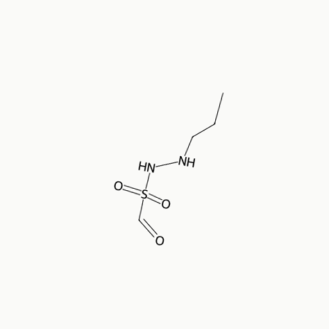 CCCNNS(=O)(=O)C=O